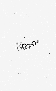 C=C(CC(O)COc1ccc(Br)cc1)C(N)=O